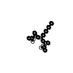 O=c1oc(-n2c3ccccc3c3cc(N(c4ccc(-c5ccc(-c6ccc(-c7ccccc7)cc6)cc5)cc4)c4ccc5c(c4)c4ccccc4n5-c4cc5ccccc5c(=O)o4)ccc32)cc2ccccc12